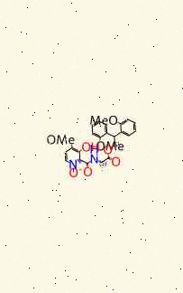 COc1ccccc1C(c1ccccc1OC)[C@H](C)OC(=O)[C@H](C)NC(=O)c1c(O)c(OC)cc[n+]1[O-]